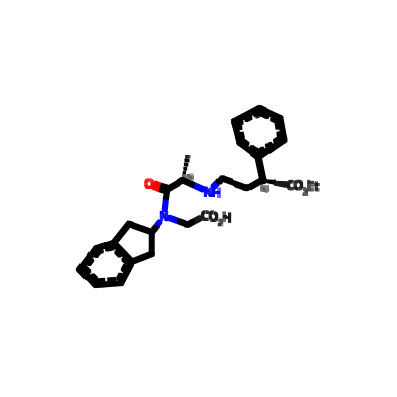 CCOC(=O)[C@@H](CCN[C@@H](C)C(=O)N(CC(=O)O)C1Cc2ccccc2C1)c1ccccc1